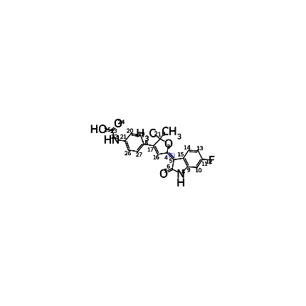 CC1(C)O/C(=C2/C(=O)Nc3cc(F)ccc32)C=C1c1ccc(NC(=O)O)cc1